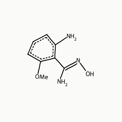 COc1cccc(N)c1C(N)=NO